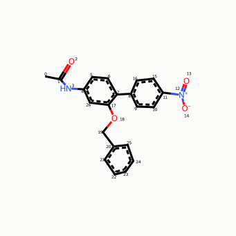 CC(=O)Nc1ccc(-c2ccc([N+](=O)[O-])cc2)c(OCc2ccccc2)c1